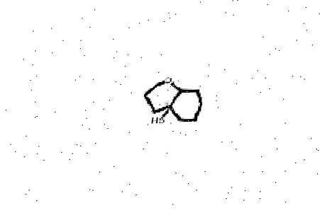 O[C@]12CCCCC1OCCC2